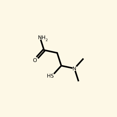 CN(C)C(S)CC(N)=O